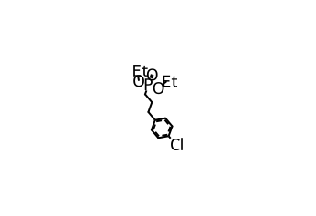 CCOP(=O)(CCCc1ccc(Cl)cc1)OCC